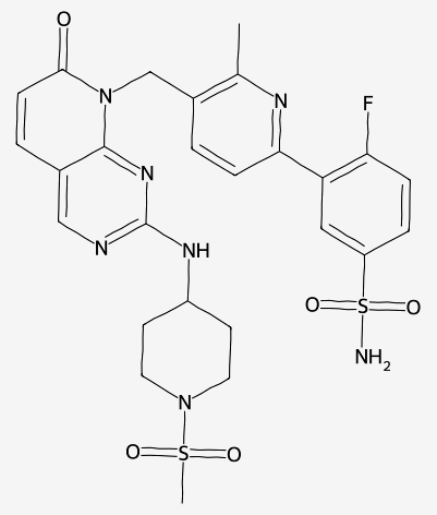 Cc1nc(-c2cc(S(N)(=O)=O)ccc2F)ccc1Cn1c(=O)ccc2cnc(NC3CCN(S(C)(=O)=O)CC3)nc21